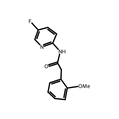 COc1ccccc1CC(=O)Nc1ccc(F)cn1